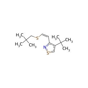 CC(C)(C)CS/C=C\c1nscc1C(C)(C)C